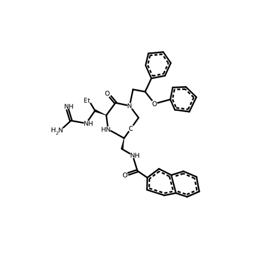 CCC(NC(=N)N)[C@@H]1N[C@H](CNC(=O)c2ccc3ccccc3c2)CCN(CC(Oc2ccccc2)c2ccccc2)C1=O